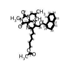 CC(=O)OCCCCCc1nc2c(=O)n(C)c(=O)n(CC(C)C)c2nc1COc1cccc2ccccc12